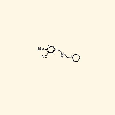 CC(C)(C)c1ncc(CNCCN2CCCCC2)cc1C#N